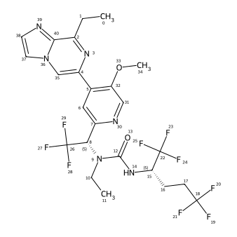 CCc1nc(-c2cc([C@H](N(CC)C(=O)N[C@@H](CCC(F)(F)F)C(F)(F)F)C(F)(F)F)ncc2OC)cn2ccnc12